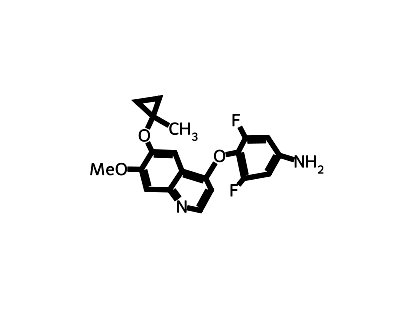 COc1cc2nccc(Oc3c(F)cc(N)cc3F)c2cc1OC1(C)CC1